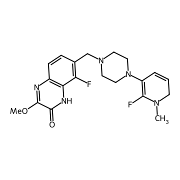 COc1nc2ccc(CN3CCN(C4=C(F)N(C)CC=C4)CC3)c(F)c2[nH]c1=O